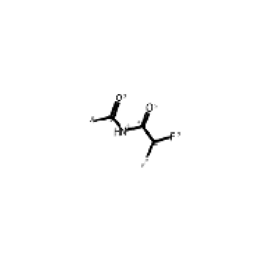 [CH2]C(=O)NC(=O)C(F)F